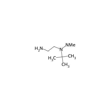 CNN(CCN)C(C)(C)C